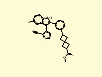 COC(=O)C1CC2(C1)CC(c1cccc(-c3[nH]c4ccc(F)cc4c3-c3ccsc3C#N)c1)C2